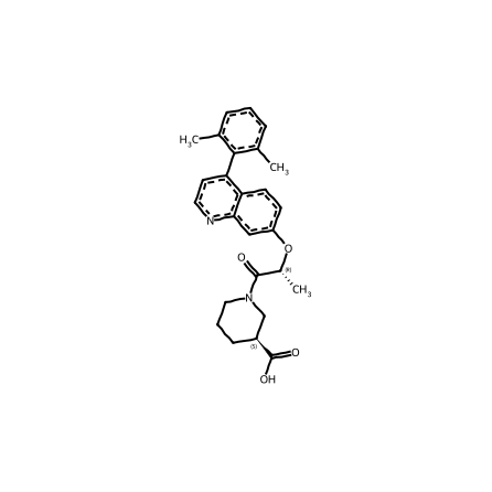 Cc1cccc(C)c1-c1ccnc2cc(O[C@H](C)C(=O)N3CCC[C@H](C(=O)O)C3)ccc12